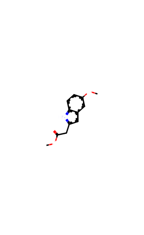 COC(=O)Cc1cc2cc(OC)ccc2[nH]1